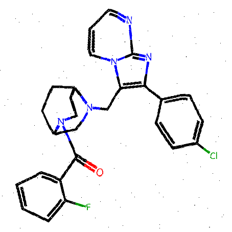 O=C(c1ccccc1F)N1CCC2CCC1CN2Cc1c(-c2ccc(Cl)cc2)nc2ncccn12